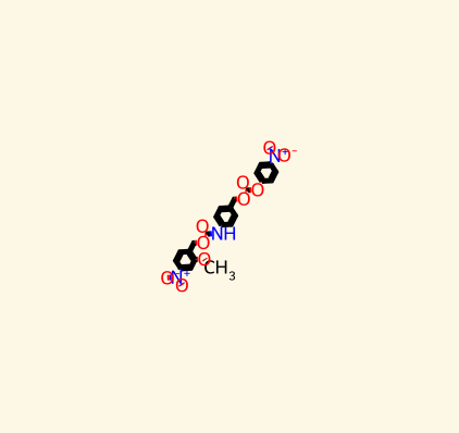 COc1cc([N+](=O)[O-])ccc1COC(=O)Nc1ccc(COC(=O)Oc2ccc([N+](=O)[O-])cc2)cc1